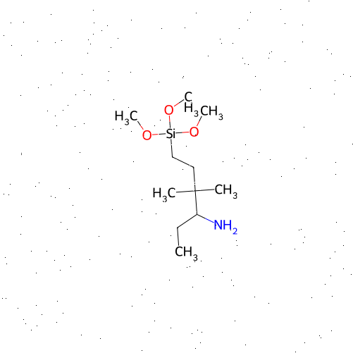 CCC(N)C(C)(C)CC[Si](OC)(OC)OC